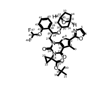 Cc1c(-c2ncco2)sc2c1c(=O)n(C1(C(=O)OC(C)(C)C)CC1)c(=O)n2C[C@H](O[C@H]1C[C@H]2CC[C@@H](C1)O2)c1ccccc1OC(F)F